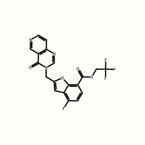 O=C(OCC(F)(F)F)c1ccc(F)c2cc(Cn3cnc4ccncc4c3=O)oc12